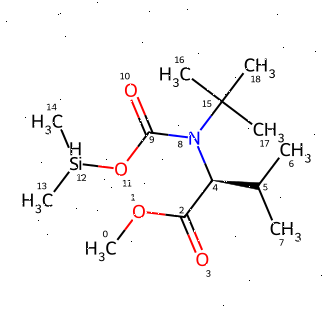 COC(=O)[C@H](C(C)C)N(C(=O)O[SiH](C)C)C(C)(C)C